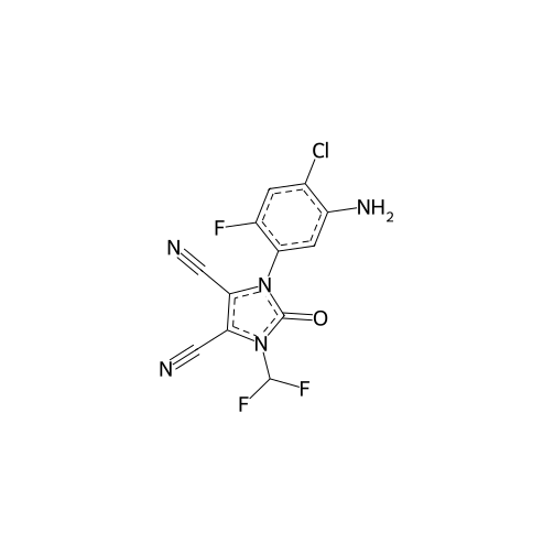 N#Cc1c(C#N)n(C(F)F)c(=O)n1-c1cc(N)c(Cl)cc1F